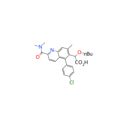 CCCCOC(C(=O)O)c1c(C)cc2nc(C(=O)N(C)C)ccc2c1-c1ccc(Cl)cc1